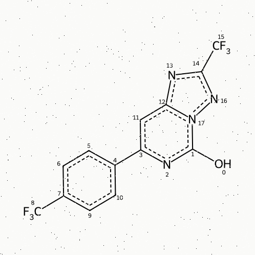 Oc1nc(-c2ccc(C(F)(F)F)cc2)cc2nc(C(F)(F)F)nn12